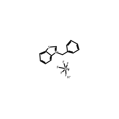 [F][Sb-]([F])([F])([F])([F])[F].[H+].c1ccc(C[n+]2csc3ccccc32)cc1